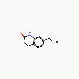 O=CCc1ccc2c(c1)NC(=O)CC2